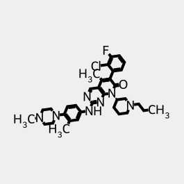 CCCN1CCC[C@H](n2c(=O)c(-c3cccc(F)c3Cl)c(C)c3cnc(Nc4ccc(N5CCN(C)CC5)c(C)c4)nc32)C1